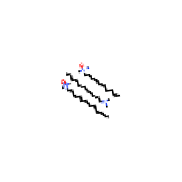 CCCCCCCCCCCC[N+](C)(C)[O-].CCCCCCCCCCCN(C)C.CCCCCCCCCC[N+](C)(C)[O-]